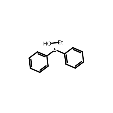 CCO.c1ccc(Sc2ccccc2)cc1